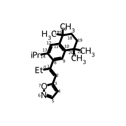 CC/C(=C\c1ccno1)c1cc2c(cc1C(C)C)C(C)(C)CCC2(C)C